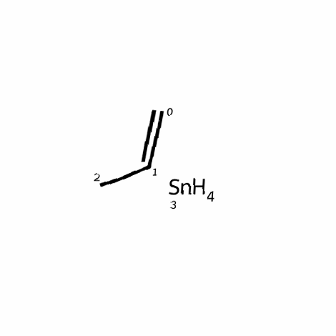 C=CC.[SnH4]